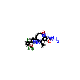 NC(=O)Nc1ccc2c(c1)NC(=O)CCCCC(c1ccc(-c3c(F)cccc3OC(F)F)cn1)c1nc-2c(C2CC2)[nH]1